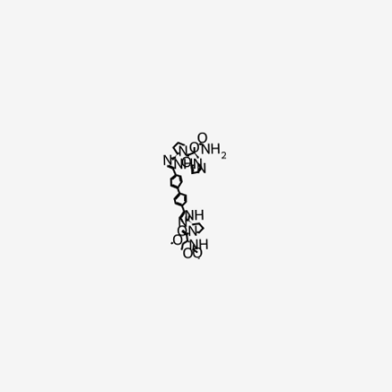 COC(=O)N[C@H](C(=O)N1CCC[C@H]1c1ncc(-c2ccc(-c3ccc(-c4cnc([C@@H]5CCCN5C(=O)[C@H](Cn5cccn5)OC(N)=O)[nH]4)cc3)cc2)[nH]1)C(C)OC